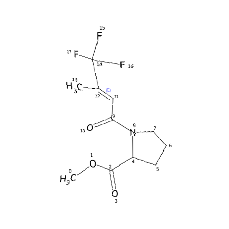 COC(=O)C1CCCN1C(=O)/C=C(\C)C(F)(F)F